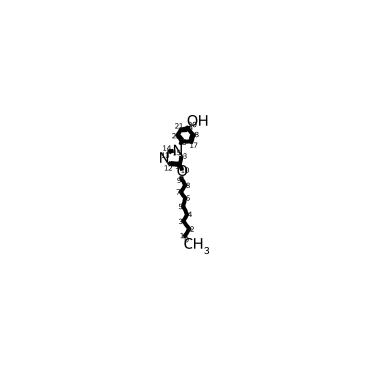 CCCCCCCCCCOC1=CN=CN(c2ccc(O)cc2)C1